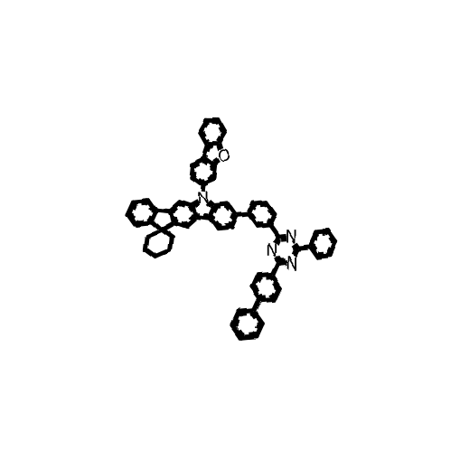 c1ccc(-c2ccc(-c3nc(-c4ccccc4)nc(-c4cccc(-c5ccc6c7cc8c(cc7n(-c7ccc9c(c7)oc7ccccc79)c6c5)-c5ccccc5C85CCCCC5)c4)n3)cc2)cc1